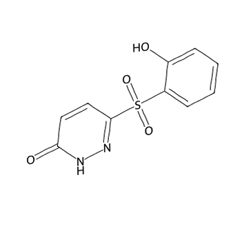 O=c1ccc(S(=O)(=O)c2ccccc2O)n[nH]1